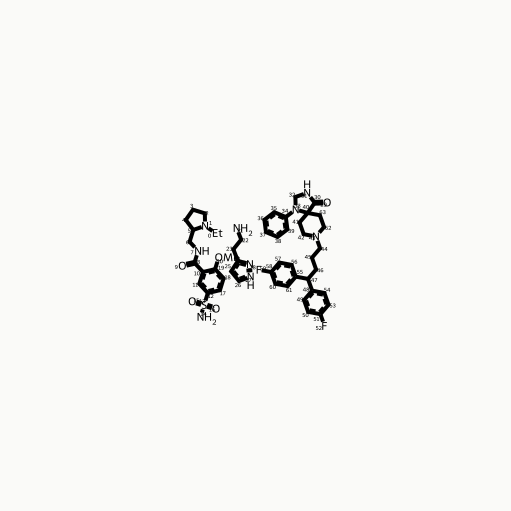 CCN1CCCC1CNC(=O)c1cc(S(N)(=O)=O)ccc1OC.NCCc1cc[nH]n1.O=C1NCN(c2ccccc2)C12CCN(CCCC(c1ccc(F)cc1)c1ccc(F)cc1)CC2